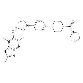 Cc1nc2nc(C)c(O[C@@H]3CCN(c4ccc([C@H]5CC[C@H](C(=O)N6CCCC6)CC5)cc4)C3)c(C)n2n1